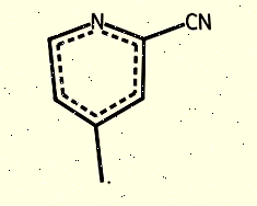 [CH2]c1ccnc(C#N)c1